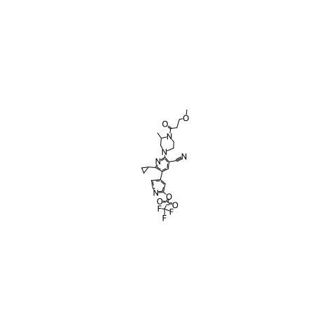 COCCC(=O)N1CCN(c2nc(C3CC3)c(-c3ccnc(OS(=O)(=O)C(F)(F)F)c3)cc2C#N)CC1C